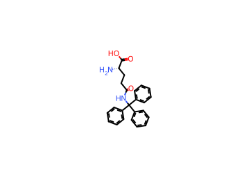 N[C@@H](CCC(=O)NC(c1ccccc1)(c1ccccc1)c1ccccc1)C(=O)O